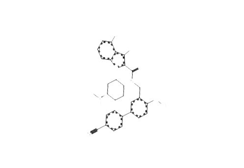 CN[C@H]1CC[C@H](N(Cc2cc(-c3ccc(C#N)cc3)ccc2OC)C(=O)c2sc3cccc(F)c3c2Cl)CC1